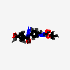 CC(C)(C)OC(=O)NCc1ccc(NC(=O)C23CCC(C=O)(CC2)CC3)cc1